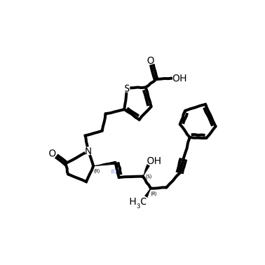 C[C@H](CC#Cc1ccccc1)[C@H](O)/C=C/[C@H]1CCC(=O)N1CCCc1ccc(C(=O)O)s1